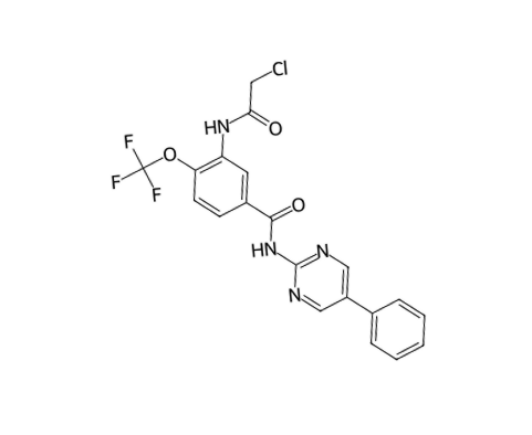 O=C(CCl)Nc1cc(C(=O)Nc2ncc(-c3ccccc3)cn2)ccc1OC(F)(F)F